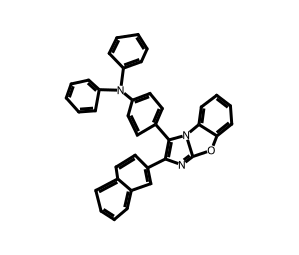 c1ccc(N(c2ccccc2)c2ccc(-c3c(-c4ccc5ccccc5c4)nc4oc5ccccc5n34)cc2)cc1